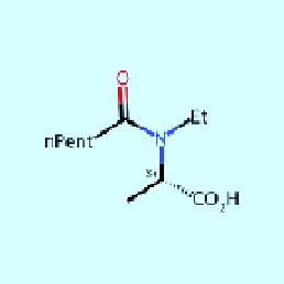 CCCCCC(=O)N(CC)[C@@H](C)C(=O)O